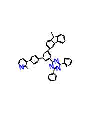 Cc1ncccc1-c1ccc(C2C=C(c3nc(-c4ccccc4)nc(-c4ccccc4)n3)C=C(c3ccc4c(c3)-c3ccccc3C4C)C2)cc1